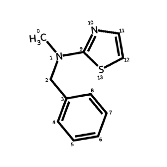 CN(Cc1ccccc1)c1nccs1